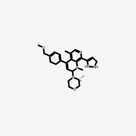 COCC1=CC=C(C2=CC(N3CCOC[C@H]3C)N(C)c3c(C4=CCNN4)ncc(C)c32)CC1